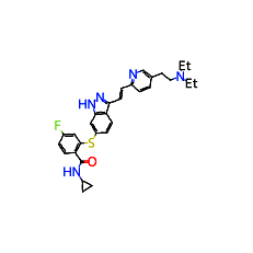 CCN(CC)CCc1ccc(/C=C/c2n[nH]c3cc(Sc4cc(F)ccc4C(=O)NC4CC4)ccc23)nc1